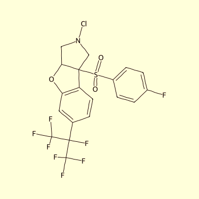 O=S(=O)(c1ccc(F)cc1)C12CN(Cl)CC1Oc1cc(C(F)(C(F)(F)F)C(F)(F)F)ccc12